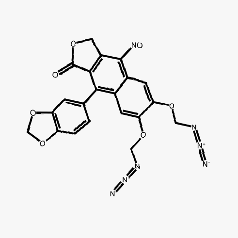 [N-]=[N+]=NCOc1cc2c(N=O)c3c(c(-c4ccc5c(c4)OCO5)c2cc1OCN=[N+]=[N-])C(=O)OC3